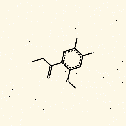 CCC(=O)c1cc(C)c(C)cc1OC